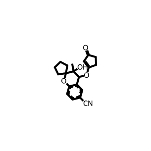 CC1(O)C(OC2=CC(=O)CC2)c2cc(C#N)ccc2OC12CCCC2